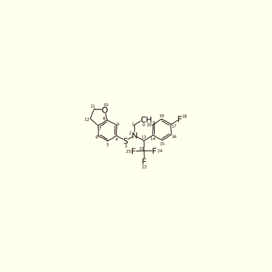 CCN(Sc1ccc2c(c1)OCC2)C(c1ccc(F)cc1)C(F)(F)F